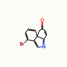 O=C1C=CC2=NC=C3C(Br)=CC=CC32C1